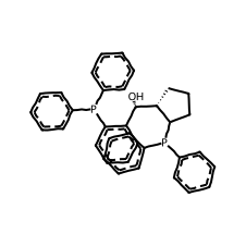 O[C@@H](c1ccccc1P(c1ccccc1)c1ccccc1)[C@@H]1CCCC1P(c1ccccc1)c1ccccc1